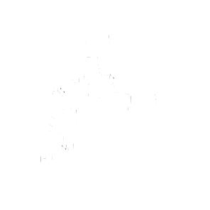 CNc1ccc(NC)c(-c2cc(-c3ccccc3)nc(-c3ccccc3)c2)c1